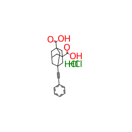 Cl.Cl.O=C(O)C12CC3CC(C#Cc4ccccc4)(C1)CC(C(=O)O)(C3)C2